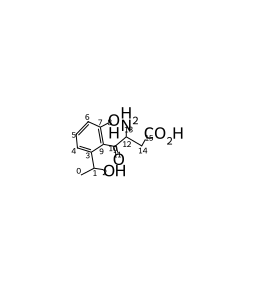 CC(O)c1cccc(O)c1C(=O)C(N)CC(=O)O